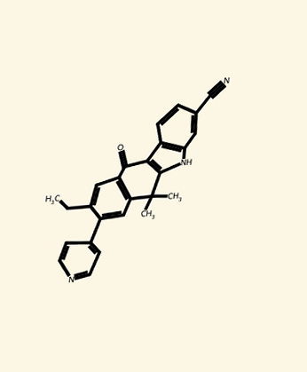 CCc1cc2c(cc1-c1ccncc1)C(C)(C)c1[nH]c3cc(C#N)ccc3c1C2=O